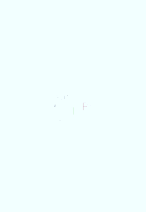 [Ba+2].[Br+].[F-].[F-].[F-]